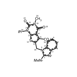 CNc1nc2ccccc2n1Cc1sc2c(c1C(=O)O)c(=O)n(C)c(=O)n2C(C)C